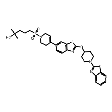 CC(C)(O)CCCS(=O)(=O)N1CC=C(c2ccc3nc(OC4CCN(c5nc6ccccc6s5)CC4)sc3c2)CC1